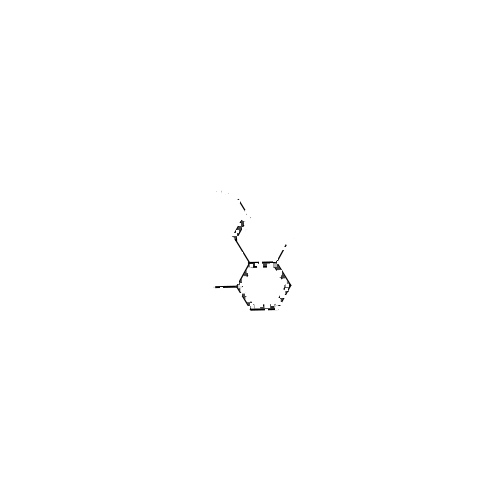 CO/N=C/c1c(O)cccc1O